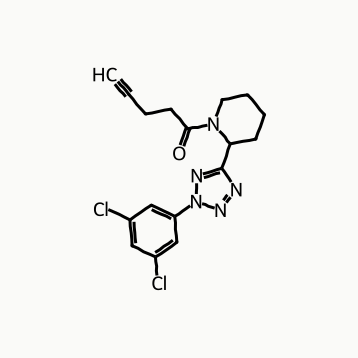 C#CCCC(=O)N1CCCCC1c1nnn(-c2cc(Cl)cc(Cl)c2)n1